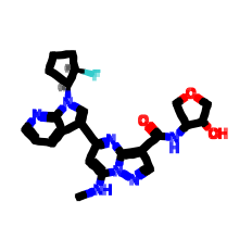 CNc1cc(-c2cn([C@H]3CCC[C@H]3F)c3ncccc23)nc2c(C(=O)NC3COCC3O)cnn12